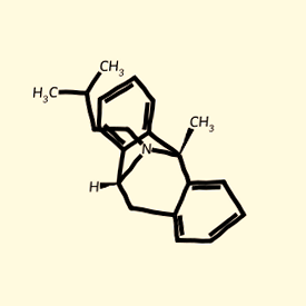 CC(C)CCN1[C@@H]2Cc3ccccc3[C@@]1(C)c1ccccc12